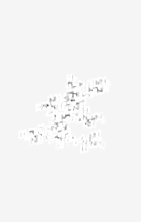 N=C(N)NCCCCC(=O)N[C@H](CCCNC(=N)N)C(=O)N[C@H](CCCNC(=N)N)C(=O)N[C@H](CCCNC(=N)N)C(=O)N[C@H](CCCNC(=N)N)C(=O)N[C@H](CS)C(N)=O